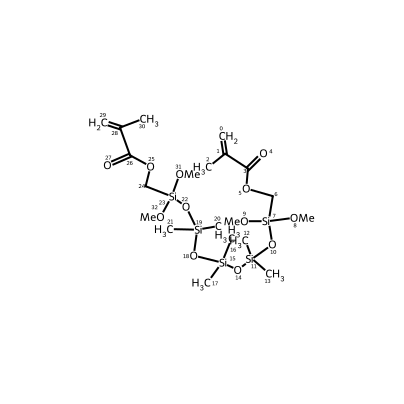 C=C(C)C(=O)OC[Si](OC)(OC)O[Si](C)(C)O[Si](C)(C)O[Si](C)(C)O[Si](COC(=O)C(=C)C)(OC)OC